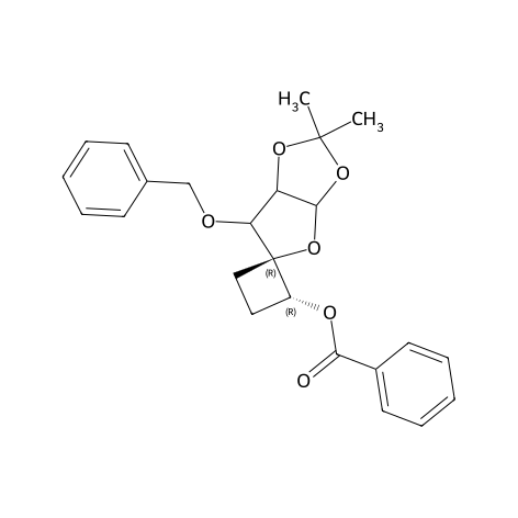 CC1(C)OC2O[C@@]3(CC[C@H]3OC(=O)c3ccccc3)C(OCc3ccccc3)C2O1